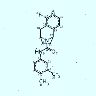 Cc1ccc(NC(=O)N2C3CCC2c2ccnc(F)c2C3)cc1C(F)(F)F